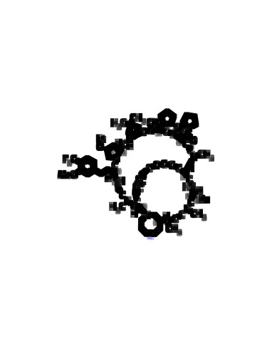 CCO[C@@H]1C[C@H]2CNC3(CN(C)[C@@H](C4CCCC4)CN(C)[C@H](C(=O)N4CCCC4)CCN(C)[C@H]4CCCCCc5ccc(cc5)C[C@@H](CN(C)CCN[C@@H](CCc5ccc(C(F)(F)F)c(OC)c5)CN2C1)N1CC/C=C\C[C@@H](C1)N(C)CCN(C)C[C@H]([C@@H](C)CC)NC4)CC(C)(C)C3